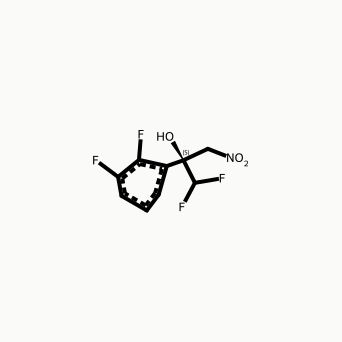 O=[N+]([O-])C[C@@](O)(c1cccc(F)c1F)C(F)F